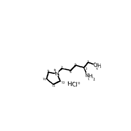 Cl.NC(CO)CCCN1CCCC1